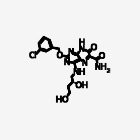 NC(=O)c1nc2c(NC[C@H](O)CCO)nc(OCc3cccc(Cl)c3)nc2[nH]c1=O